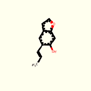 C/C=C/c1cc2ccoc2cc1O